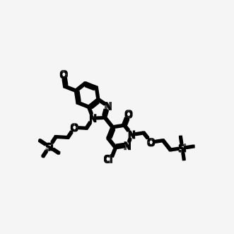 C[Si](C)(C)CCOCn1nc(Cl)cc(-c2nc3ccc(C=O)cc3n2COCC[Si](C)(C)C)c1=O